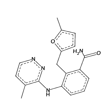 Cc1ccc(Cc2c(Nc3nnccc3C)cccc2C(N)=O)o1